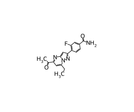 CCc1cc(C(C)=O)nc2cc(-c3ccc(C(N)=O)cc3F)nn12